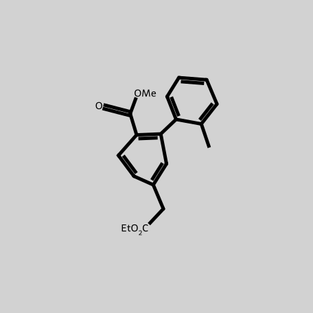 CCOC(=O)Cc1ccc(C(=O)OC)c(-c2ccccc2C)c1